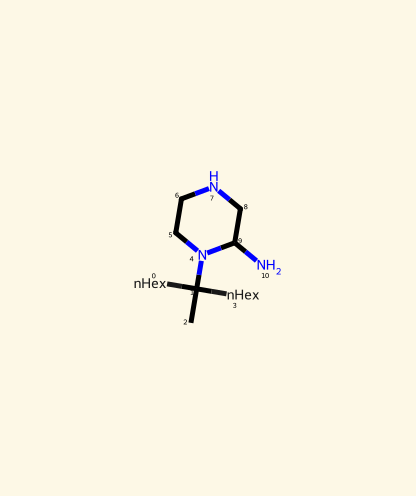 CCCCCCC(C)(CCCCCC)N1CCNCC1N